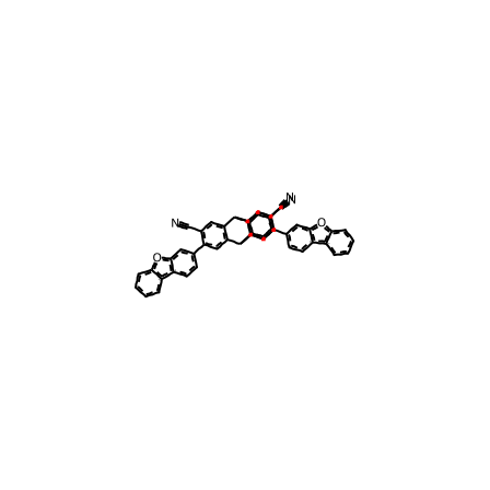 N#Cc1ccc2c(c1)C1c3cc(C#N)c(-c4ccc5c(c4)oc4ccccc45)cc3C2c2cc(-c3ccc4c(c3)oc3ccccc34)c(C#N)cc21